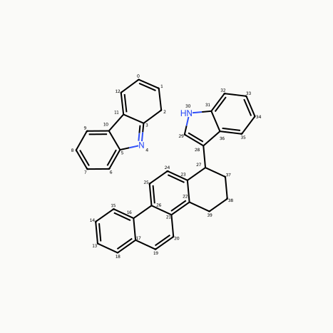 C1=CCC2=Nc3ccccc3C2=C1.c1ccc2c(c1)ccc1c3c(ccc12)C(c1c[nH]c2ccccc12)CCC3